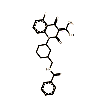 C/C(O)=C1\C(=O)c2c(Cl)cccc2N(C2CCCC(CNC(=O)c3ccccc3)C2)C1=O